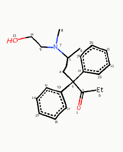 CCC(=O)C(CC(C)N(C)CCO)(c1ccccc1)c1ccccc1